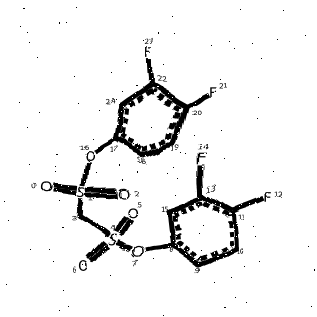 O=S(=O)(CS(=O)(=O)Oc1ccc(F)c(F)c1)Oc1ccc(F)c(F)c1